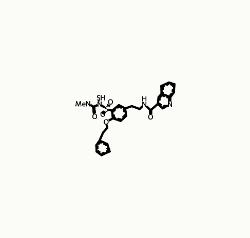 CNC(=O)N(S)S(=O)(=O)c1cc(CCNC(=O)c2cnc3ccccc3c2)ccc1OCCc1ccccc1